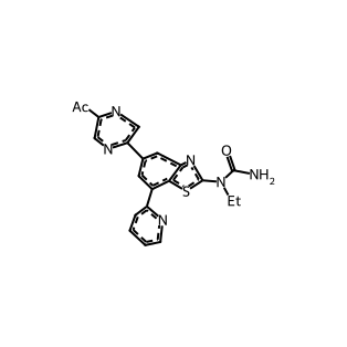 CCN(C(N)=O)c1nc2cc(-c3cnc(C(C)=O)cn3)cc(-c3ccccn3)c2s1